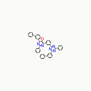 c1ccc(-c2cccc(-c3nc(-c4ccccc4)nc(-c4cccc(-c5nc(-c6ccccc6)nc6c5oc5ccc(-c7ccccc7)cc56)c4)n3)c2)cc1